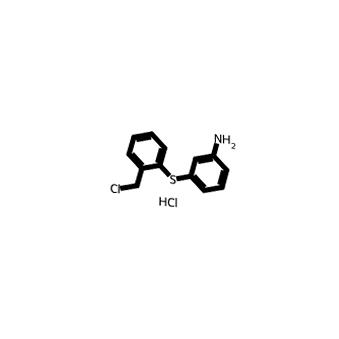 Cl.Nc1cccc(Sc2ccccc2CCl)c1